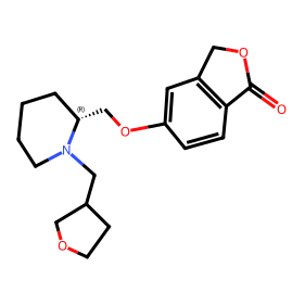 O=C1OCc2cc(OC[C@H]3CCCCN3CC3CCOC3)ccc21